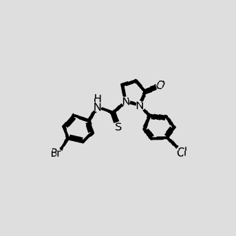 O=C1CCN(C(=S)Nc2ccc(Br)cc2)N1c1ccc(Cl)cc1